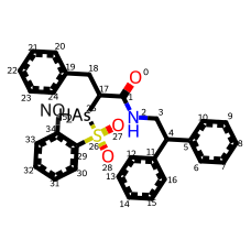 O=C(NCC(c1ccccc1)c1ccccc1)C(Cc1ccccc1)[AsH]S(=O)(=O)c1ccccc1[N+](=O)[O-]